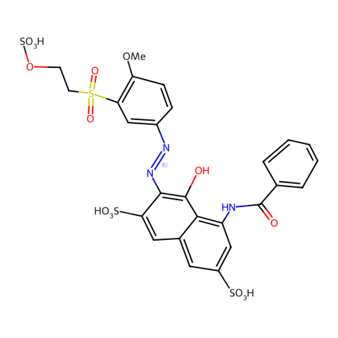 COc1ccc(/N=N/c2c(S(=O)(=O)O)cc3cc(S(=O)(=O)O)cc(NC(=O)c4ccccc4)c3c2O)cc1S(=O)(=O)CCOS(=O)(=O)O